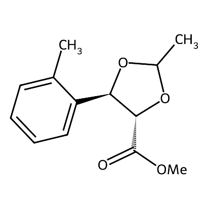 COC(=O)[C@H]1OC(C)O[C@@H]1c1ccccc1C